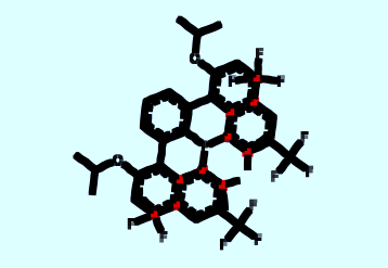 CC(C)Oc1cccc(OC(C)C)c1-c1cccc(-c2c(OC(C)C)cccc2OC(C)C)c1P(c1cc(C(F)(F)F)cc(C(F)(F)F)c1)c1cc(C(F)(F)F)cc(C(F)(F)F)c1